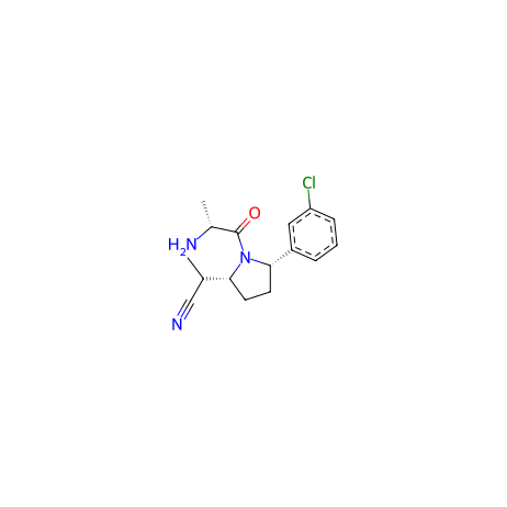 CC(C#N)[C@H]1CC[C@@H](c2cccc(Cl)c2)N1C(=O)[C@@H](C)N